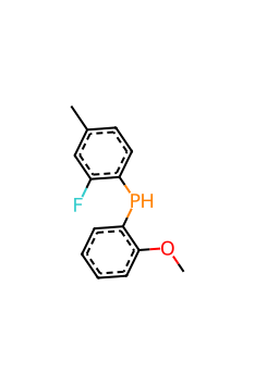 COc1ccccc1Pc1ccc(C)cc1F